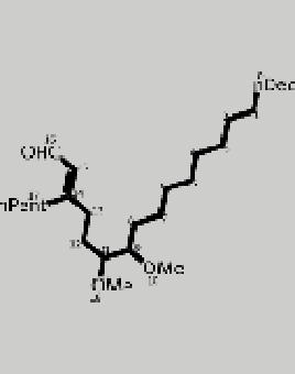 CCCCCCCCCCCCCCCCCCC(OC)C(CC/C(=C/C=O)CCCCC)OC